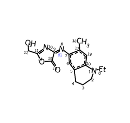 CCN1CCCc2cc(/N=C3/N=C(CO)OC3=O)c(C)cc21